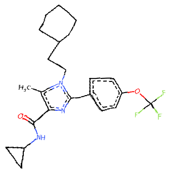 Cc1c(C(=O)NC2CC2)nc(-c2ccc(OC(F)(F)F)cc2)n1CCC1CCCCC1